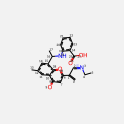 C=C(/C=N\CC)c1cc(=O)c2cc(C)cc(C(C)Nc3ccccc3C(=O)O)c2o1